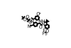 COc1cc(NC(C(=O)N2CC3(CC3)c3ccc(OC(F)(F)F)cc32)c2ccc(C#N)cc2)cc(C(C)=NOC(C)(C)C(=O)OC(C)(C)C)c1